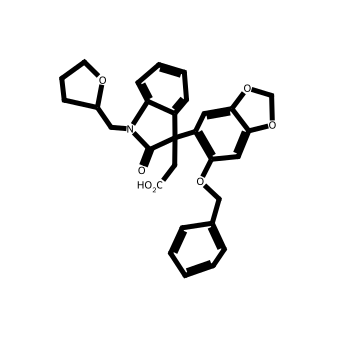 O=C(O)CC1(c2cc3c(cc2OCc2ccccc2)OCO3)C(=O)N(CC2CCCO2)c2ccccc21